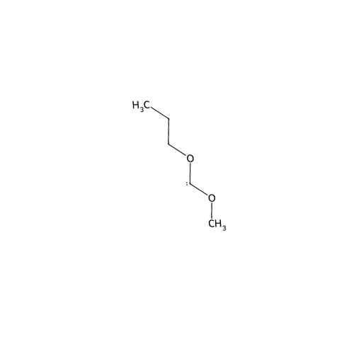 CCCO[C]OC